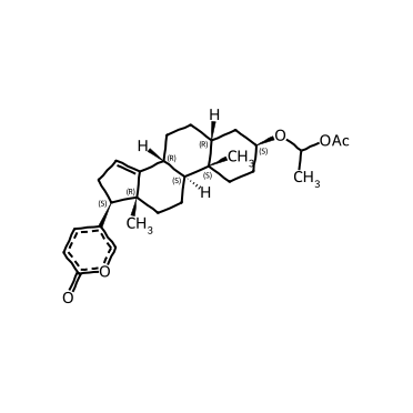 CC(=O)OC(C)O[C@H]1CC[C@@]2(C)[C@H](CC[C@H]3C4=CC[C@H](c5ccc(=O)oc5)[C@@]4(C)CC[C@@H]32)C1